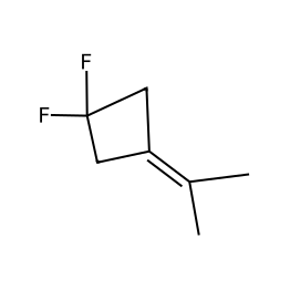 CC(C)=C1CC(F)(F)C1